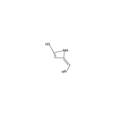 CCC/C=C1\C=C(S)N1